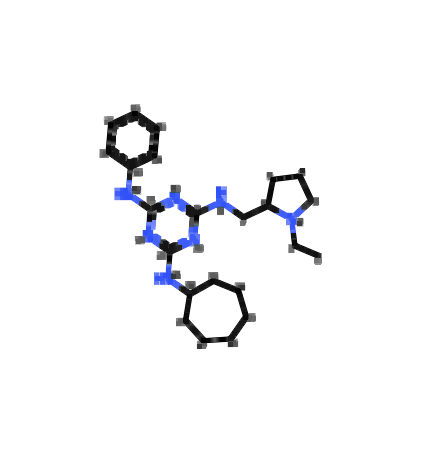 CCN1CCCC1CNc1nc(Nc2c[c]ccc2)nc(NC2CCCCCC2)n1